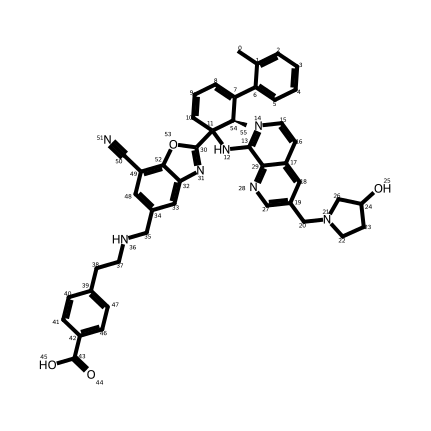 Cc1ccccc1C1=CC=CC(Nc2nccc3cc(CN4CCC(O)C4)cnc23)(c2nc3cc(CNCCc4ccc(C(=O)O)cc4)cc(C#N)c3o2)[C@@H]1C